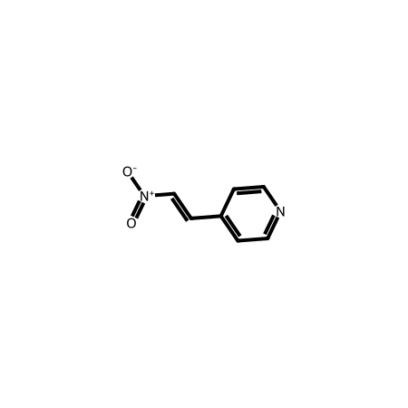 O=[N+]([O-])/C=[C]/c1ccncc1